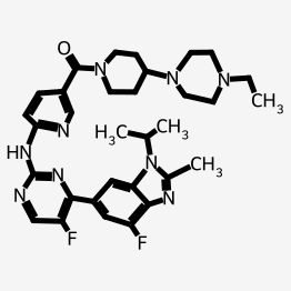 CCN1CCN(C2CCN(C(=O)c3ccc(Nc4ncc(F)c(-c5cc(F)c6nc(C)n(C(C)C)c6c5)n4)nc3)CC2)CC1